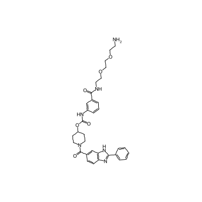 NCCOCCOCCNC(=O)c1cccc(NC(=O)OC2CCN(C(=O)c3ccc4nc(-c5ccccc5)[nH]c4c3)CC2)c1